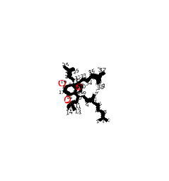 CC(C)=CCC/C(C)=C/C[C@H]1CC(C)(C)OC2=CC(=O)[C@]3(CC=C(C)C)C(=O)[C@@]21CC[C@]3(C)CCC=C(C)C